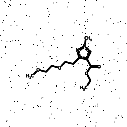 CCOC(=O)c1cn(C)nc1CCOCCOC